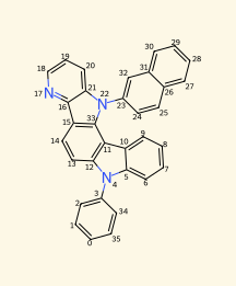 c1ccc(-n2c3ccccc3c3c2ccc2c4ncccc4n(-c4ccc5ccccc5c4)c23)cc1